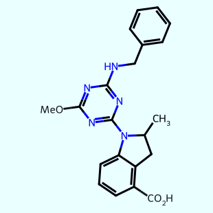 COc1nc(NCc2ccccc2)nc(N2c3cccc(C(=O)O)c3CC2C)n1